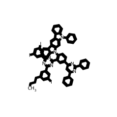 CCCCc1cc(I)cc(-c2nc(-c3cc(I)cc(I)c3)nc(-c3cc(-c4cc(-c5ccccc5)nc(-c5ccccc5)n4)ccc3-n3c4ccccc4c4cc5c6ccccc6n(-c6ccccc6)c5cc43)n2)c1